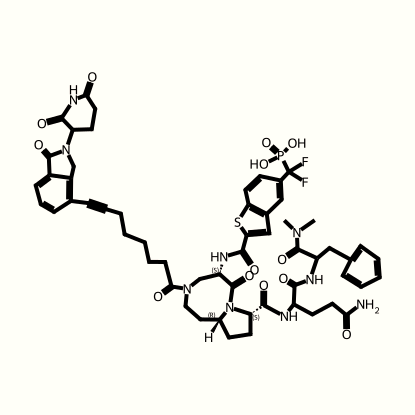 CN(C)C(=O)C(Cc1ccccc1)NC(=O)C(CCC(N)=O)NC(=O)[C@@H]1CC[C@@H]2CCN(C(=O)CCCCCC#Cc3cccc4c3CN(C3CCC(=O)NC3=O)C4=O)C[C@H](NC(=O)c3cc4cc(C(F)(F)P(=O)(O)O)ccc4s3)C(=O)N21